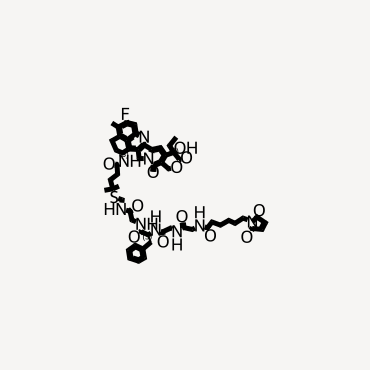 CC[C@@]1(O)C(=O)OCc2c1cc1n(c2=O)Cc2c-1nc1cc(F)c(C)c3c1c2[C@@H](NC(=O)CCC(C)(C)SCNC(=O)CNC(=O)[C@H](Cc1ccccc1)NC(=O)CNC(=O)CNC(=O)CCCCCN1C(=O)C=CC1=O)CC3